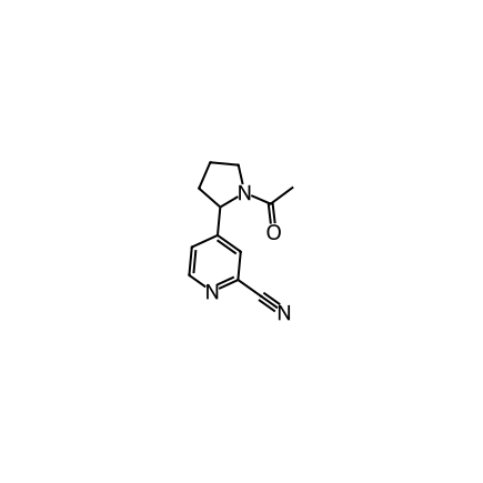 CC(=O)N1CCCC1c1ccnc(C#N)c1